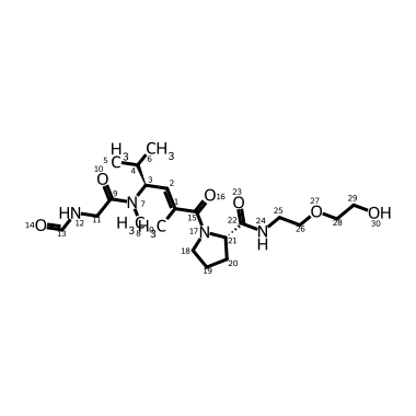 C/C(=C\[C@H](C(C)C)N(C)C(=O)CNC=O)C(=O)N1CCC[C@H]1C(=O)NCCOCCO